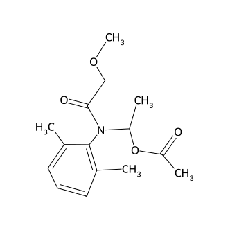 COCC(=O)N(c1c(C)cccc1C)C(C)OC(C)=O